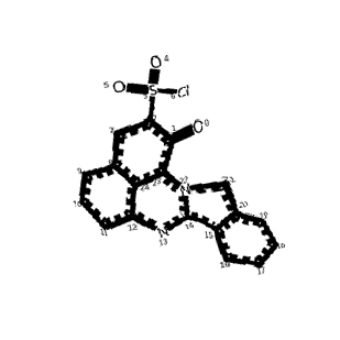 O=c1c(S(=O)(=O)Cl)cc2cccc3nc4c5ccccc5cn4c1c23